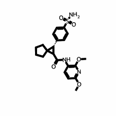 COc1ccc(NC(=O)C2[C@@H](c3ccc(S(N)(=O)=O)cc3)C23CCCC3)c(OC)n1